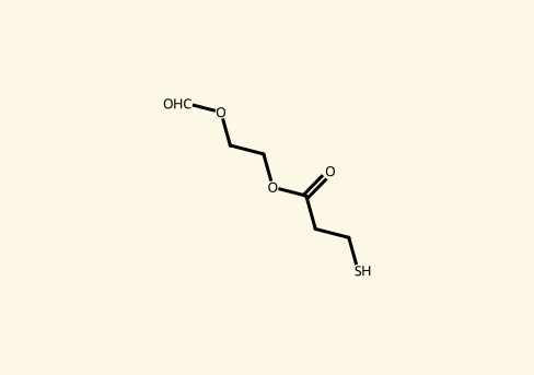 O=COCCOC(=O)CCS